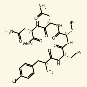 CNC(=O)[C@H](CC(N)=O)NC(=O)[C@H](CC(N)=O)NC(=O)[C@H](CC(C)C)NC(=O)[C@H](CC(C)C)NC(=O)[C@@H](N)Cc1ccc(Cl)cc1